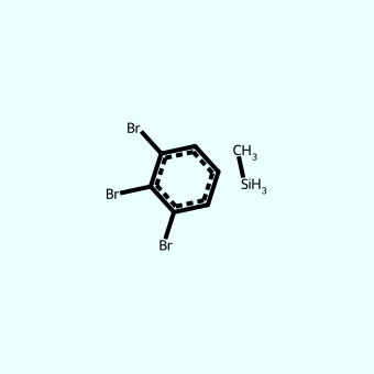 Brc1cccc(Br)c1Br.C[SiH3]